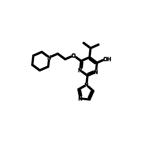 CC(C)c1c(O)nc(-n2ccnc2)nc1OCCN1CCCCC1